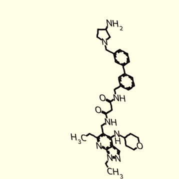 CCc1nc2c(cnn2CC)c(NC2CCOCC2)c1CNC(=O)CC(=O)NCc1cccc(-c2cccc(CN3CCC(N)C3)c2)c1